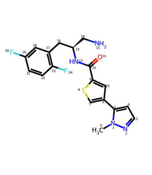 Cn1nccc1-c1csc(C(=O)N[C@H](CN)Cc2cc(F)ccc2F)c1